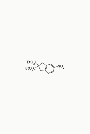 CCOC(=O)C1(C(=O)OCC)Cc2ccc([N+](=O)[O-])cc2C1